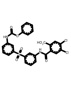 O=C(Nc1cccc(S(=O)(=O)c2cccc(NC(=O)c3cc(Cl)c(Cl)cc3C(=O)O)c2)c1)Oc1ccccc1